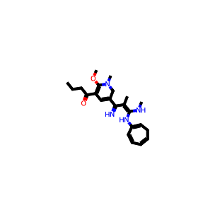 CCCC(=O)C1=C(OC)N(C)CC(C(=N)/C(C)=C(/NC)NC2=CCC=CC=C2)=C1